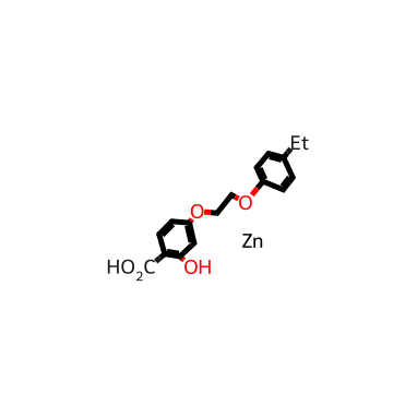 CCc1ccc(OCCOc2ccc(C(=O)O)c(O)c2)cc1.[Zn]